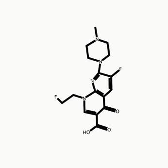 CN1CCN(c2nc3c(cc2F)c(=O)c(C(=O)O)cn3CCF)CC1